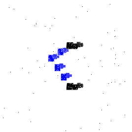 [Mo+6].[Mo+6].[N-3].[N-3].[N-3].[N-3]